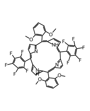 COc1cccc(OC)c1-c1c2nc(c(-c3c(F)c(F)c(F)c(F)c3F)c3ccc([nH]3)c(-c3c(OC)cccc3OC)c3nc(c(-c4c(F)c(F)c(F)c(F)c4F)c4ccc1[nH]4)C=C3)C=C2